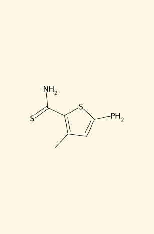 Cc1cc(P)sc1C(N)=S